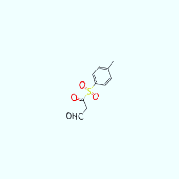 Cc1ccc(S(=O)(=O)C(=O)CC=O)cc1